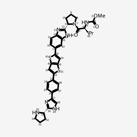 COC(=O)N[C@H](C(=O)N1CCC[C@H]1c1nc2ccc(-c3cc4sc(-c5ccc(-c6c[nH]c([C@@H]7CCCN7)n6)cc5)cc4s3)cc2[nH]1)C(C)C